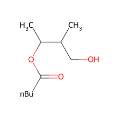 CCCCC(=O)OC(C)C(C)CO